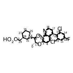 C[C@@H](Oc1ccc2c(-c3c(Cl)cc(F)cc3Cl)ccnc2n1)C(=O)N1CCC[C@H](CC(=O)O)C1